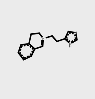 C1=[N+](CCc2cnc[nH]2)CCc2ccccc21